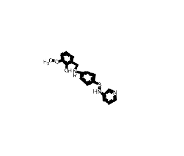 COc1cccc(CNc2ccc(SNc3cccnc3)cc2)c1O